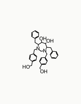 OCc1ccc(CN2CN(Cc3ccc(CO)cc3)C(Cc3ccccc3)C(O)C(O)C2Cc2ccccc2)cc1